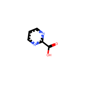 O=C(O)c1n[c]ccn1